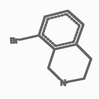 Brc1cccc2c1C[N]CC2